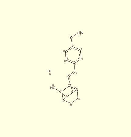 CCCCOc1ccc(C=CC2C(O)C3CCN2CC3)cc1.I